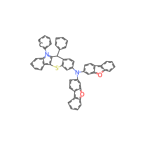 c1ccc(C2c3ccc(N(c4ccc5c(c4)oc4ccccc45)c4ccc5c(c4)oc4ccccc45)cc3Sc3c2n(-c2ccccc2)c2ccccc32)cc1